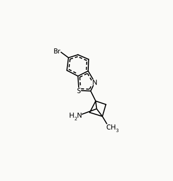 CC12CC(c3nc4ccc(Br)cc4s3)(C1)C2N